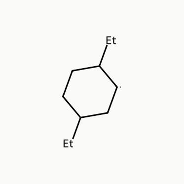 CCC1[CH]CC(CC)CC1